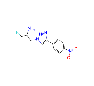 NC(CF)Cn1cc(-c2ccc([N+](=O)[O-])cc2)nn1